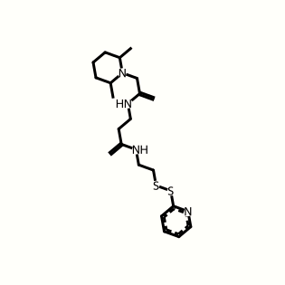 C=C(CCNC(=C)CN1C(C)CCCC1C)NCCSSc1ccccn1